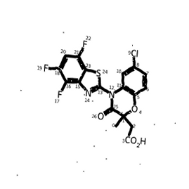 CC1(CC(=O)O)Oc2ccc(Cl)cc2N(c2nc3c(F)c(F)cc(F)c3s2)C1=O